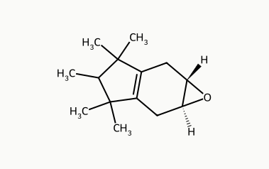 CC1C(C)(C)C2=C(C[C@@H]3O[C@H]3C2)C1(C)C